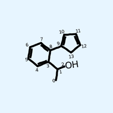 CC(O)c1ccccc1C1=CC=CC1